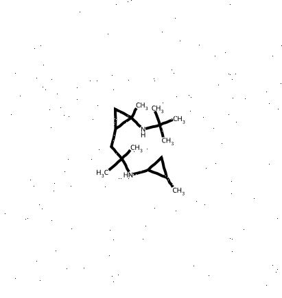 CC1CC1NC(C)(C)CC1CC1(C)NC(C)(C)C